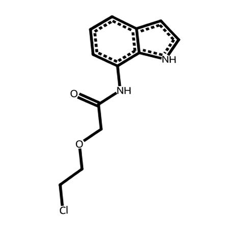 O=C(COCCCl)Nc1cccc2cc[nH]c12